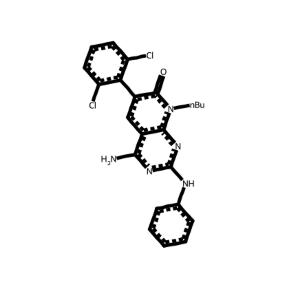 CCCCn1c(=O)c(-c2c(Cl)cccc2Cl)cc2c(N)nc(Nc3ccccc3)nc21